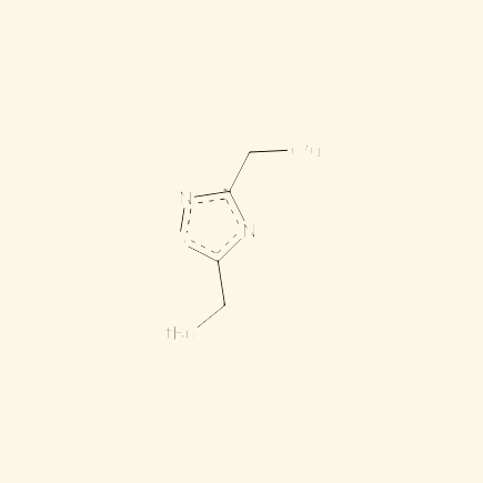 CC(C)(C)Cc1noc(CC(C)(C)C)n1